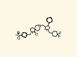 CS(=O)(=O)c1ccc(CN2CCC3(CCN(CC4CN(CC5CCC(F)(F)CC5)CC4c4ccccc4)CC3)C2=O)cc1